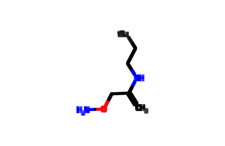 C=C(CON)NCCC(C)(C)C